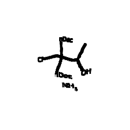 CCCCCCCCCCC(Cl)(CCCCCCCCCC)C(C)O.N